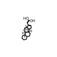 C[C@]12CCCCC1CC[C@@H]1[C@@H]2CC[C@]2(C)C(C=C(O)O)=CC[C@@H]12